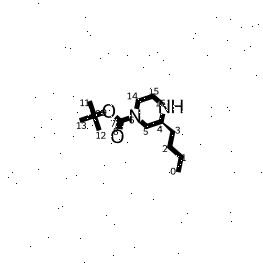 CCCC[C@H]1CN(C(=O)OC(C)(C)C)CCN1